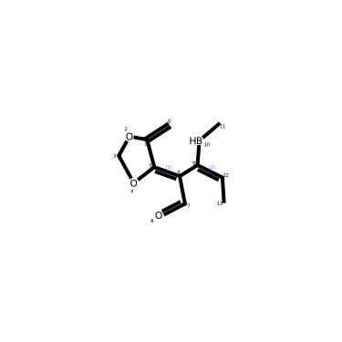 C=C1OCO/C1=C(C=O)/C(BC)=C\C